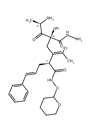 CCC[C@](C/C(=C(/C)CC)[C@H](CC=Cc1ccccc1)C(=O)NOC1CCCCO1)(C(=O)NN)C(=O)[C@@H](C)N